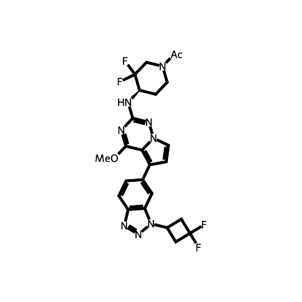 COc1nc(N[C@@H]2CCN(C(C)=O)CC2(F)F)nn2ccc(-c3ccc4nnn(C5CC(F)(F)C5)c4c3)c12